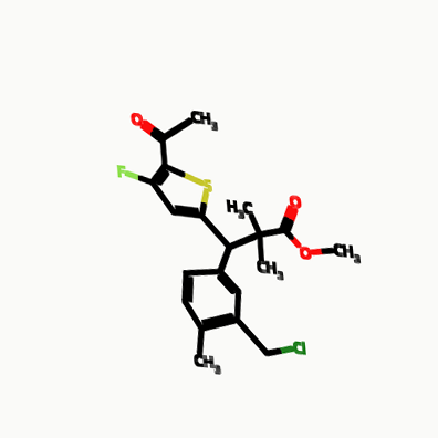 COC(=O)C(C)(C)C(c1ccc(C)c(CCl)c1)c1cc(F)c(C(C)=O)s1